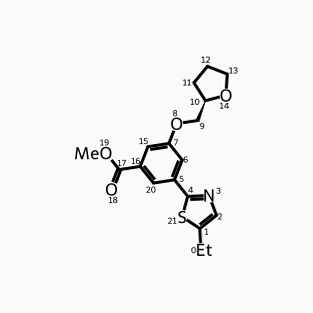 CCc1cnc(-c2cc(OC[C@H]3CCCO3)cc(C(=O)OC)c2)s1